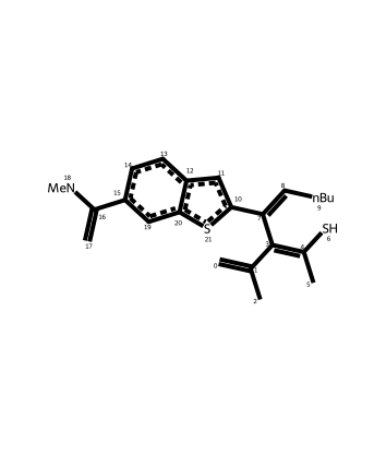 C=C(C)C(=C(\C)S)/C(=C\CCCC)c1cc2ccc(C(=C)NC)cc2s1